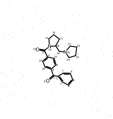 O=C(c1ccccc1)c1ccc(C(=O)N2CCCC2CN2CCCC2)cc1